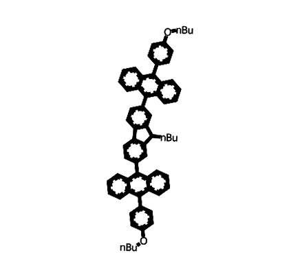 CCCCOc1ccc(-c2c3ccccc3c(-c3ccc4c(c3)C(CCCC)c3cc(-c5c6ccccc6c(-c6ccc(OCCCC)cc6)c6ccccc56)ccc3-4)c3ccccc23)cc1